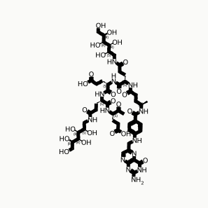 CC(=O)[C@H](CCC(=O)O)NC(=O)[C@H](CCC(=O)NC[C@H](O)[C@@H](O)[C@H](O)[C@H](O)CO)NC(=O)[C@H](CCC(=O)O)NC(=O)[C@H](CCC(=O)NC[C@H](O)[C@@H](O)[C@H](O)[C@H](O)CO)NC(=O)CC[C@@H](C)NC(=O)c1ccc(NCc2cnc3nc(N)[nH]c(=O)c3n2)cc1